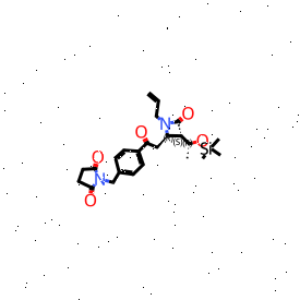 C=CCN1C(=O)[C@H]([C@@H](C)O[Si](C)(C)C)[C@H]1CC(=O)c1ccc(CN2C(=O)CCC2=O)cc1